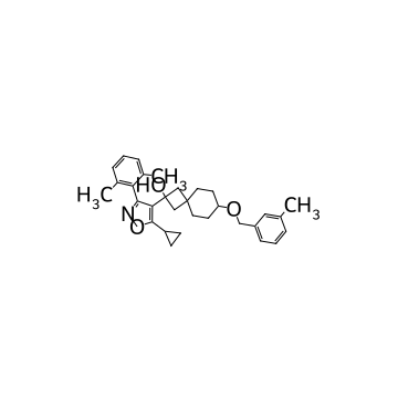 Cc1cccc(COC2CCC3(CC2)CC(O)(c2c(-c4c(C)cccc4C)noc2C2CC2)C3)c1